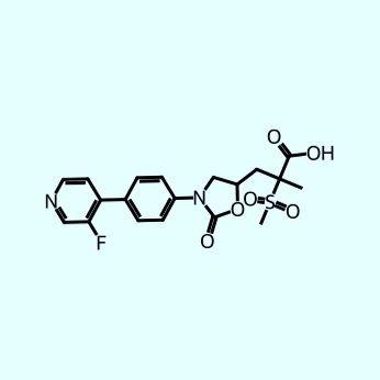 CC(CC1CN(c2ccc(-c3ccncc3F)cc2)C(=O)O1)(C(=O)O)S(C)(=O)=O